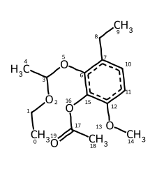 CCOC(C)Oc1c(CC)ccc(OC)c1OC(C)=O